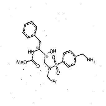 COC(=O)N[C@@H](Cc1ccccc1)[C@H](O)CN(CC(C)C)S(=O)(=O)c1ccc(CN)cc1